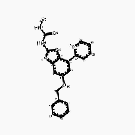 CCNC(=O)Nc1nc2cc(OCc3ccccc3)cc(-c3ccccn3)c2s1